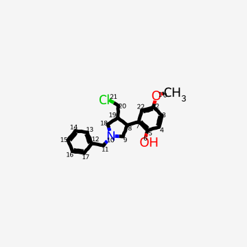 COc1ccc(O)c(C2CN(Cc3ccccc3)CC2CCl)c1